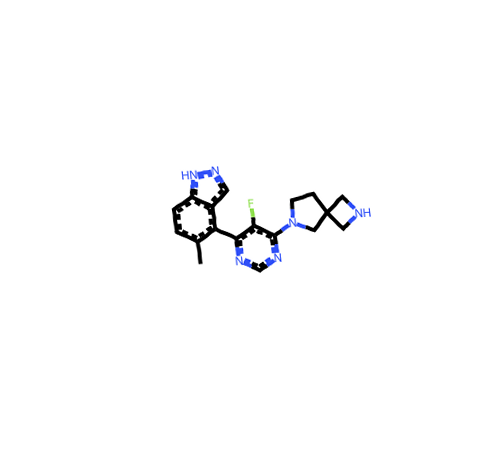 Cc1ccc2[nH]ncc2c1-c1ncnc(N2CCC3(CNC3)C2)c1F